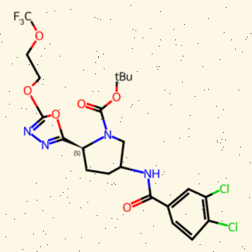 CC(C)(C)OC(=O)N1CC(NC(=O)c2ccc(Cl)c(Cl)c2)CC[C@H]1c1nnc(OCCOC(F)(F)F)o1